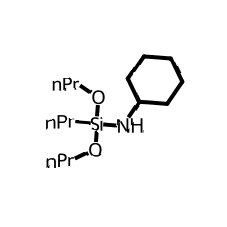 CCCO[Si](CCC)(NC1CCCCC1)OCCC